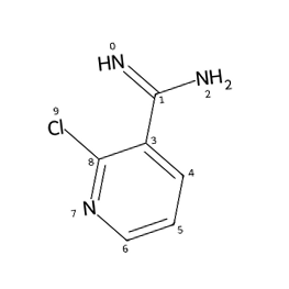 N=C(N)c1cccnc1Cl